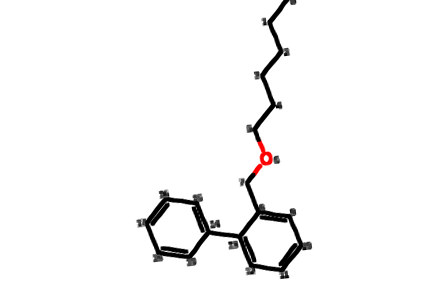 CCCCCCOCc1ccccc1-c1ccccc1